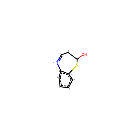 OC1CC=Nc2ccccc2S1